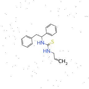 C=CCNC(=S)NC(Cc1ccccc1)c1ccccc1